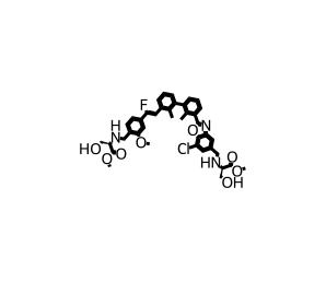 COC(=O)[C@@H](CO)NCc1cc(Cl)c2oc(-c3cccc(-c4cccc(/C=C(\F)c5ccc(CN[C@H](CO)C(=O)OC)c(OC)c5)c4C)c3C)nc2c1